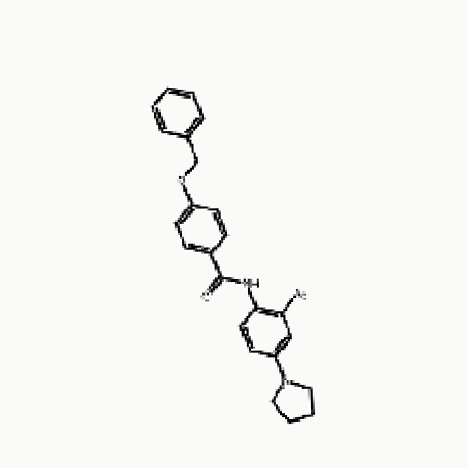 CC(=O)c1cc(N2CCCC2)ccc1NC(=O)c1ccc(OCc2ccccc2)cc1